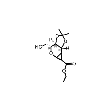 CCOC(=O)C1C2O[C@H](CO)[C@H]3OC(C)(C)O[C@@H]3C21